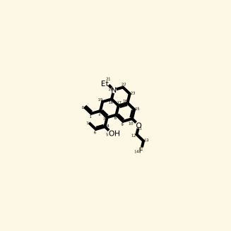 C=CC1=C(/C(O)=C\C)c2cc(OCCF)cc3c2C(C1)N(CC)CC3